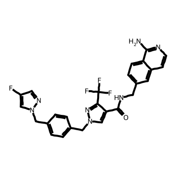 Nc1nccc2cc(CNC(=O)c3cn(Cc4ccc(Cn5cc(F)cn5)cc4)nc3C(F)(F)F)ccc12